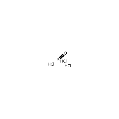 Cl.Cl.Cl.O=S